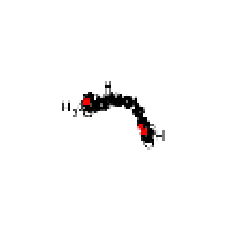 CN(C)C(=O)c1cc2cnc(Nc3ccc(N4CCN(CC5CCN(c6ccc(C7CCC(=O)NC7=O)cc6)CC5)CC4)cn3)nc2n1C1CCCC1